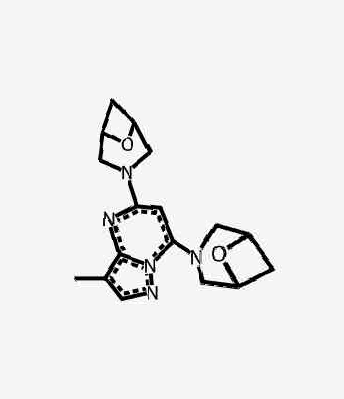 Cc1cnn2c(N3CC4CC(C3)O4)cc(N3CC4CC(C3)O4)nc12